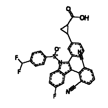 N#Cc1cccc(C#N)c1-c1c(-c2cccc(C3CC3C(=O)O)c2)n([S+]([O-])c2ccc(C(F)F)cc2)c2ccc(F)cc12